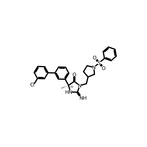 C[C@@]1(c2cccc(-c3cccc(Cl)c3)c2)NC(=N)N(CC2CCN(S(=O)(=O)c3ccccc3)C2)C1=O